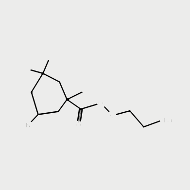 CC(C)(C)CCOOC(=O)C1(C)CC(N)CC(C)(C)C1